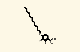 CCCCCCCCCCCCOc1ccc(B(O)O)c(F)c1F